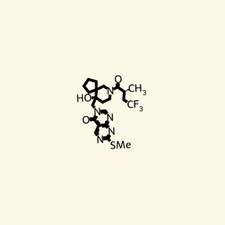 CSc1ncc2c(=O)n(CC3(O)CCN(C(=O)[C@H](C)CC(F)(F)F)CC34CCCC4)cnc2n1